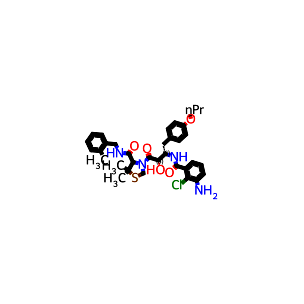 CCCOc1ccc(C[C@H](NC(=O)c2cccc(N)c2Cl)[C@H](O)C(=O)N2CSC(C)(C)C2C(=O)NCc2ccccc2C)cc1